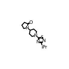 CC(C)c1nsc(N2CCC(N3CCCC3=O)CC2)n1